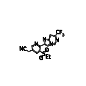 CCS(=O)(=O)c1cc(CC#N)cnc1-c1cn2cnc(C(F)(F)F)cc2n1